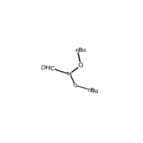 CCCCON(C=O)OCCCC